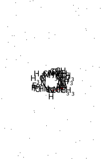 CCCC1[C@H](C(=O)N2CCCCC2)C2CNC(C)[C@H](CC(C)C)NC[C@H]([C@@H](C)CC)NC(C)[C@H](C)N3CCCC3=CN(C)C(C3CCC3)=CN(C)C=CN=C(CCc3ccc(C(F)(F)F)c(Cl)c3)C=CNCCNCC3(CCCC3)NC(C)[C@H](C3CCCC3)N12